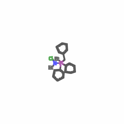 CCN(Cl)P(CC)(Cc1ccccc1)(c1ccccc1)c1ccccc1